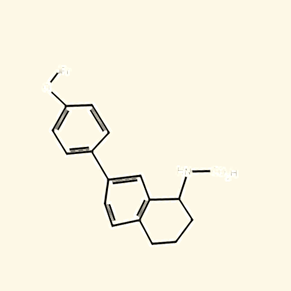 CC(C)Oc1ccc(-c2ccc3c(c2)C(NC(=O)O)CCC3)cc1